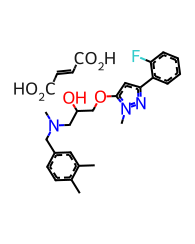 Cc1ccc(CN(C)CC(O)COc2cc(-c3ccccc3F)nn2C)cc1C.O=C(O)C=CC(=O)O